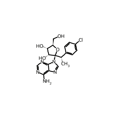 C[C@@H](c1ccc(Cl)cc1)[C@@]1(n2cnc3c(N)ncnc32)O[C@H](CO)[C@@H](O)[C@H]1O